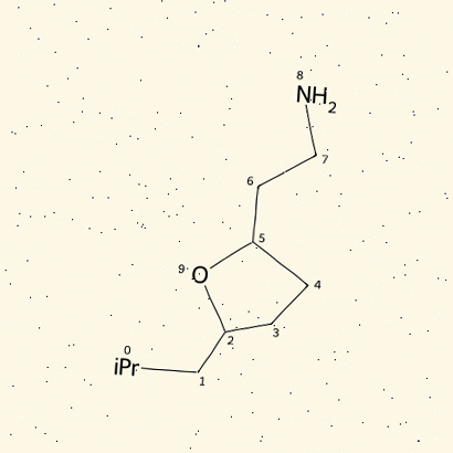 CC(C)CC1CCC(CCN)O1